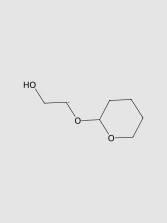 OC[CH]OC1CCCCO1